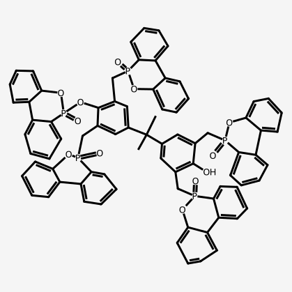 CC(C)(c1cc(CP2(=O)Oc3ccccc3-c3ccccc32)c(O)c(CP2(=O)Oc3ccccc3-c3ccccc32)c1)c1cc(CP2(=O)Oc3ccccc3-c3ccccc32)c(OP2(=O)Oc3ccccc3-c3ccccc32)c(CP2(=O)Oc3ccccc3-c3ccccc32)c1